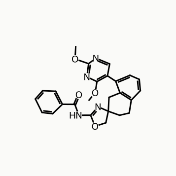 COc1ncc(-c2cccc3c2CC2(CC3)COC(NC(=O)c3ccccc3)=N2)c(OC)n1